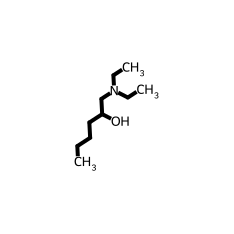 CCCCC(O)CN(CC)CC